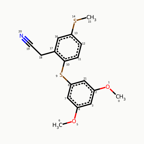 COc1cc(OC)cc(Sc2ccc(SC)cc2CC#N)c1